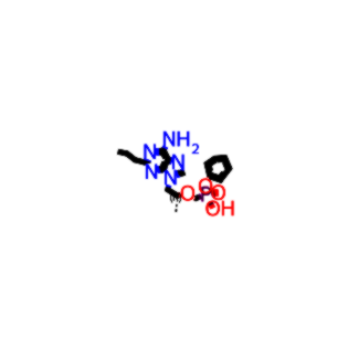 CCCc1nc(N)c2ncn(C[C@@H](C)OCP(=O)(O)Oc3ccccc3)c2n1